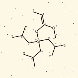 CC=C(OC)O[Si](CC(C)C)(CC(C)C)CC(C)C